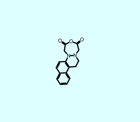 O=C1CN2CCc3c(ccc4ccccc34)N2CC(=O)O1